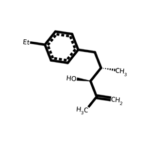 C=C(C)[C@@H](O)[C@@H](C)Cc1ccc(CC)cc1